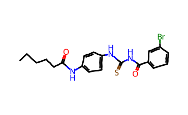 CCCCCC(=O)Nc1ccc(NC(=S)NC(=O)c2cccc(Br)c2)cc1